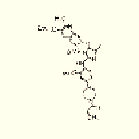 C=CC(=O)N1CCN(c2ccc(Nc3ncc(Cl)c(Oc4cc5nc(C)c(C(=O)OCC)cc5cc4OC)n3)c(OC)c2)CC1